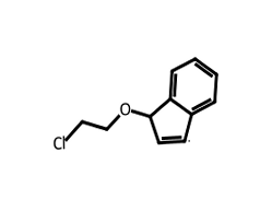 ClCCOC1C=[C]c2ccccc21